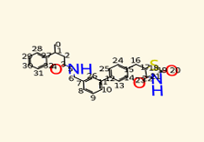 CC(CC(=O)NCc1cccc(-c2ccc(CC3SC(=O)NC3=O)cc2)c1)c1ccccc1